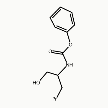 CC(C)CC(CO)NC(=O)Oc1ccccc1